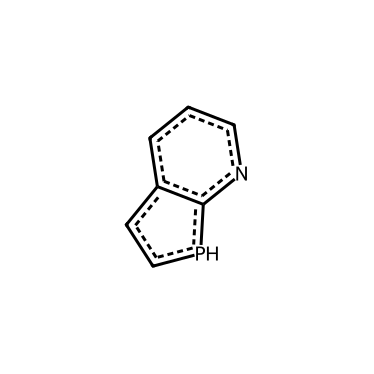 c1cnc2[pH]ccc2c1